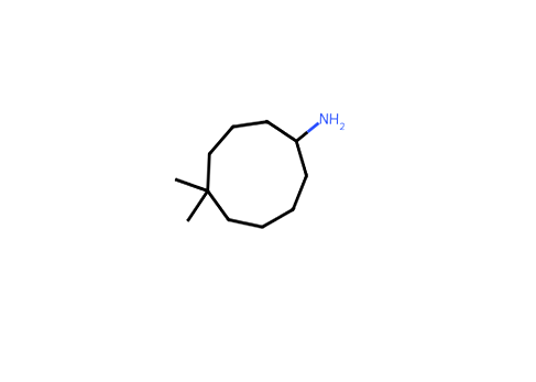 CC1(C)CCCCC(N)CCC1